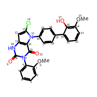 COc1ccccc1-n1c(=O)[nH]c2cc(Cl)n(-c3ccc(-c4cccc(OC)c4O)cc3)c2c1=O